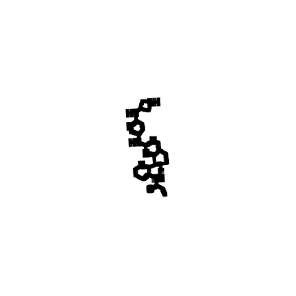 C=CC(=O)Nc1cccnc1-c1c(F)ccc2cnc(Nc3ccc(NC4CNC4)nc3)nc12